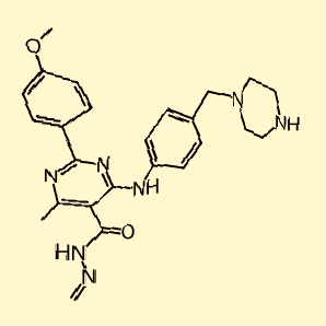 C=NNC(=O)c1c(C)nc(-c2ccc(OC)cc2)nc1Nc1ccc(CN2CCNCC2)cc1